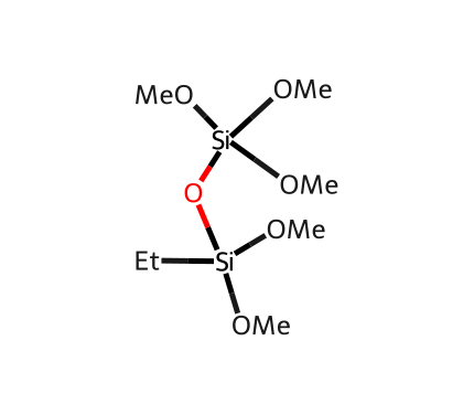 CC[Si](OC)(OC)O[Si](OC)(OC)OC